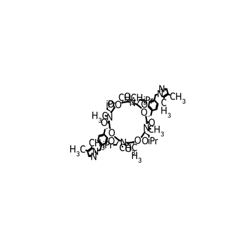 Cc1cnn(Cc2ccc(C[C@H]3OC(=O)[C@H](CC(C)C)N(C)C(=O)[C@@H](C)OC(=O)[C@H](CC(C)C)N(C)C(=O)[C@@H](Cc4ccc(Cn5ncc(C)c5C)cc4)OC(=O)[C@H](CC(C)C)N(C)C(=O)[C@@H](C)OC(=O)[C@H](CC(C)C)N(C)C3=O)cc2)c1C